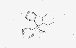 CCC(CC)[Si](O)(c1ccccc1)c1ccccc1